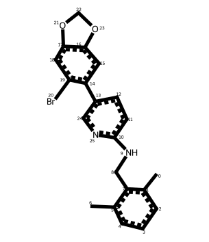 Cc1cccc(C)c1CNc1ccc(-c2cc3c(cc2Br)OCO3)cn1